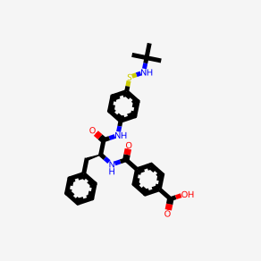 CC(C)(C)NSc1ccc(NC(=O)[C@H](Cc2ccccc2)NC(=O)c2ccc(C(=O)O)cc2)cc1